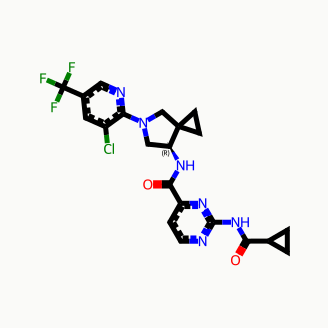 O=C(N[C@H]1CN(c2ncc(C(F)(F)F)cc2Cl)CC12CC2)c1ccnc(NC(=O)C2CC2)n1